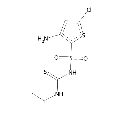 CC(C)NC(=S)NS(=O)(=O)c1sc(Cl)cc1N